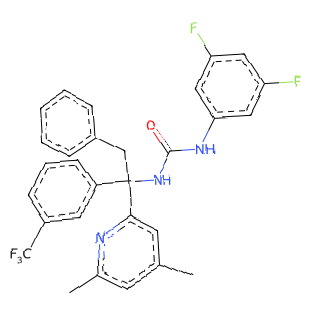 Cc1cc(C)nc(C(Cc2ccccc2)(NC(=O)Nc2cc(F)cc(F)c2)c2cccc(C(F)(F)F)c2)c1